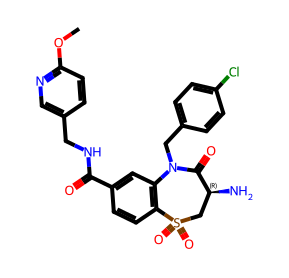 COc1ccc(CNC(=O)c2ccc3c(c2)N(Cc2ccc(Cl)cc2)C(=O)[C@@H](N)CS3(=O)=O)cn1